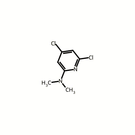 CN(C)c1cc(Cl)cc(Cl)n1